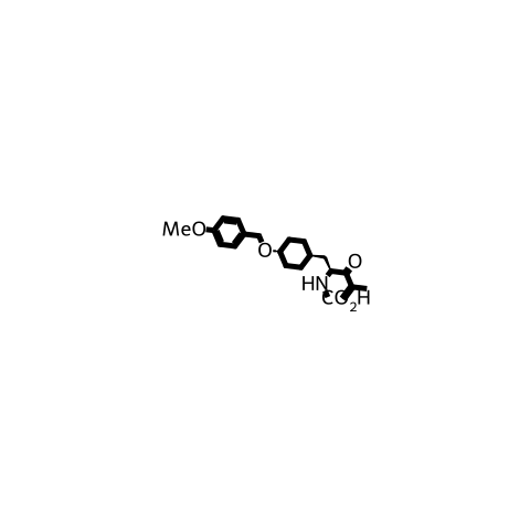 C=C(C)C(=O)[C@H](C[C@H]1CC[C@H](OCc2ccc(OC)cc2)CC1)NC(=O)O